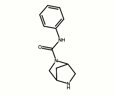 O=C(Nc1ccccc1)N1CC2CC1CN2